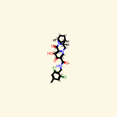 Cc1cc(F)c(CNC(=O)c2cn3c(c(O)c2=O)C(=O)N2[C@H]4CC[C@H](C4)[C@@H]2C3)c(Cl)c1